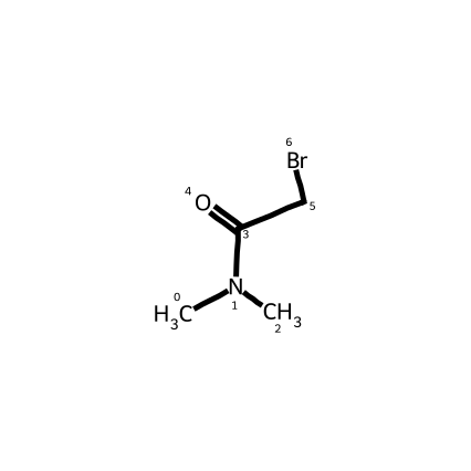 CN(C)C(=O)CBr